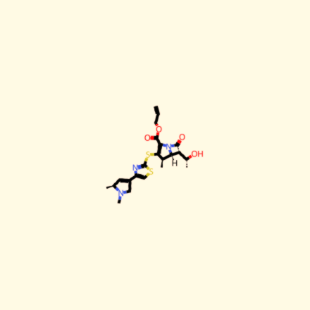 C=CCOC(=O)C1=C(Sc2nc(C3=C[C@H](C)N(C)C3)cs2)[C@H](C)[C@@H]2[C@@H]([C@@H](C)O)C(=O)N12